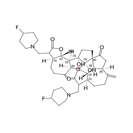 C=C1CC[C@H]2C(CN3CCC(F)CC3)C(=O)O[C@@H]2[C@@H]2[C@H]1C[C@@]1(O)[C@]2(O)CC[C@]12C(=O)C[C@H]1C(=C)CC[C@H]3C(CN4CCC(F)CC4)C(=O)O[C@@H]3[C@H]12